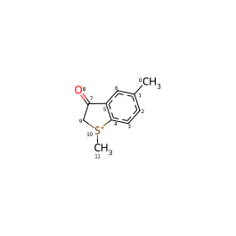 Cc1ccc2c(c1)C(=O)C[S+]2C